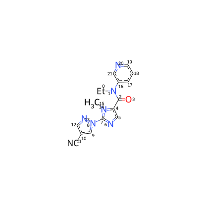 CCN(C(=O)c1cnc(-n2cc(C#N)cn2)n1C)c1cccnc1